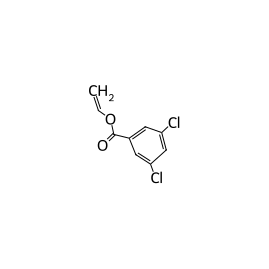 C=COC(=O)c1cc(Cl)cc(Cl)c1